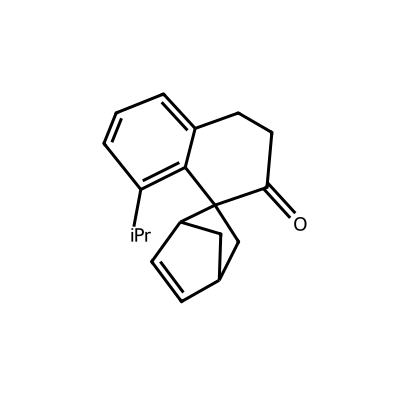 CC(C)c1cccc2c1C1(CC3C=CC1C3)C(=O)CC2